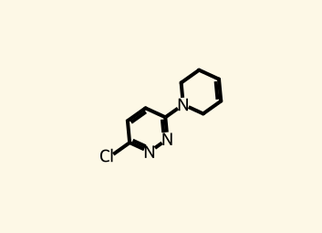 Clc1ccc(N2CC=CCC2)nn1